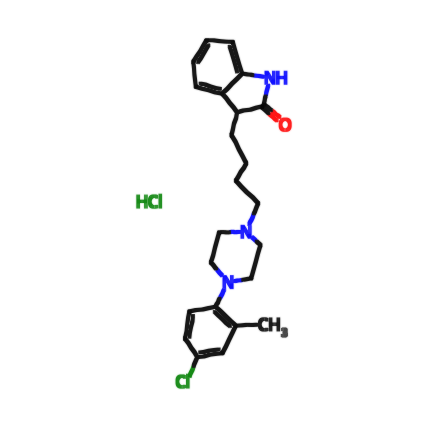 Cc1cc(Cl)ccc1N1CCN(CCCCC2C(=O)Nc3ccccc32)CC1.Cl